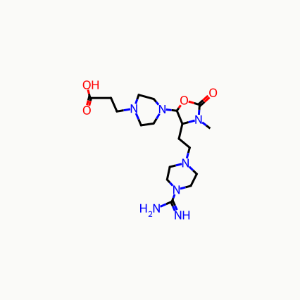 CN1C(=O)OC(N2CCN(CCC(=O)O)CC2)C1CCN1CCN(C(=N)N)CC1